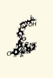 CN(C)C(O)CN1CCN(CC2CCN(C(=O)Cn3cc(NC(=O)c4cnn5cccnc45)c(-c4cc(Cl)ccc4OC(F)F)n3)CC2)CC1